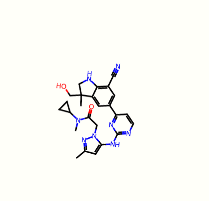 Cc1cc(Nc2nccc(-c3cc(C#N)c4c(c3)C(C)(CO)CN4)n2)n(CC(=O)N(C)C2CC2)n1